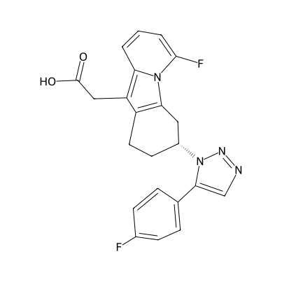 O=C(O)Cc1c2c(n3c(F)cccc13)C[C@H](n1nncc1-c1ccc(F)cc1)CC2